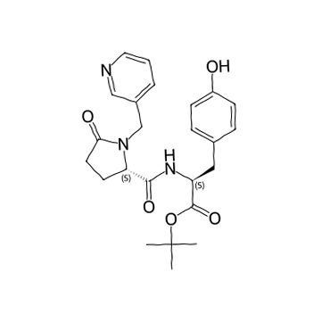 CC(C)(C)OC(=O)[C@H](Cc1ccc(O)cc1)NC(=O)[C@@H]1CCC(=O)N1Cc1cccnc1